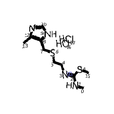 CN/C(=N/CCSCc1[nH]cnc1C)SC.Cl.Cl